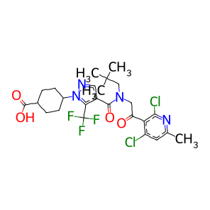 Cc1cc(Cl)c(C(=O)CN(CC(C)(C)C)C(=O)c2cnn(C3CCC(C(=O)O)CC3)c2C(F)(F)F)c(Cl)n1